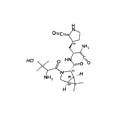 CC(C)(C)C(N)C(=O)N1C[C@H]2[C@@H]([C@H]1C(=O)NC(C[C@@H]1CCNC1=C=O)C(N)=C=O)C2(C)C.Cl